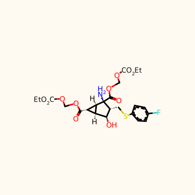 CCOC(=O)OCOC(=O)[C@H]1[C@@H]2[C@H](O)[C@@H](CSc3ccc(F)cc3)[C@@](N)(C(=O)OCOC(=O)OCC)[C@H]12